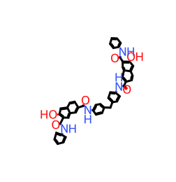 O=C(Nc1ccc(Cc2ccc(NC(=O)c3ccc4cc(O)c(C(=O)Nc5ccccc5)cc4c3)cc2)cc1)c1ccc2cc(O)c(C(=O)Nc3ccccc3)cc2c1